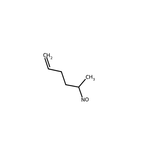 C=CCCC(C)N=O